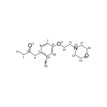 CCC(=O)Cc1ccc(OCCN2CCOCC2)cc1F